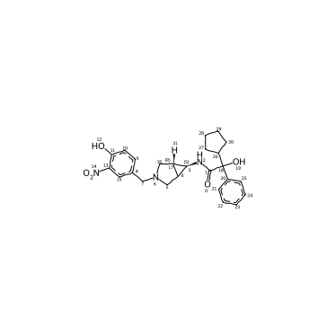 O=C(N[C@H]1C2CN(Cc3ccc(O)c([N+](=O)[O-])c3)C[C@@H]21)C(O)(c1ccccc1)C1CCCC1